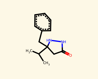 CC(C)C1(Cc2ccccc2)CC(=O)NN1